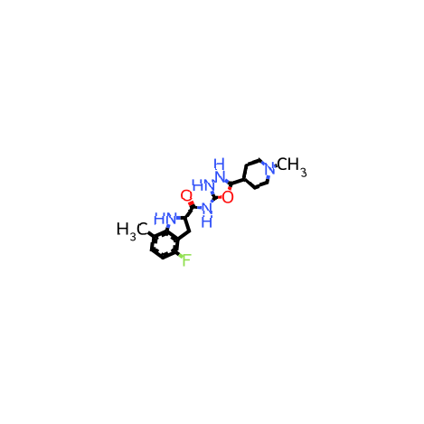 Cc1ccc(F)c2c1NC(C(=O)NC1NNC(C3CCN(C)CC3)O1)C2